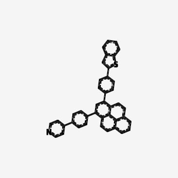 c1ccc2sc(-c3ccc(-c4cc(-c5ccc(-c6ccncc6)cc5)c5ccc6cccc7ccc4c5c67)cc3)cc2c1